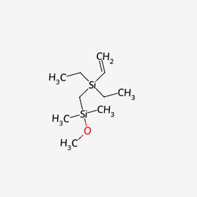 C=C[Si](CC)(CC)C[Si](C)(C)OC